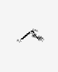 C=CCCCCCCCCOC[C@H](COP(=O)([O-])OCC[N+](C)(C)C)OC(C)=O